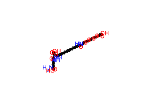 N[C@@H](CCCCNC(=O)[C@H](CCC(=O)O)NC(=O)CCCCCCCCCCCCCCCCC(=O)NCCOCCOCCOCCOCCC(=O)O)C(=O)O